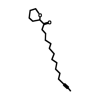 CC#CCCCCCCCCCCCC(=O)C1CCCCO1